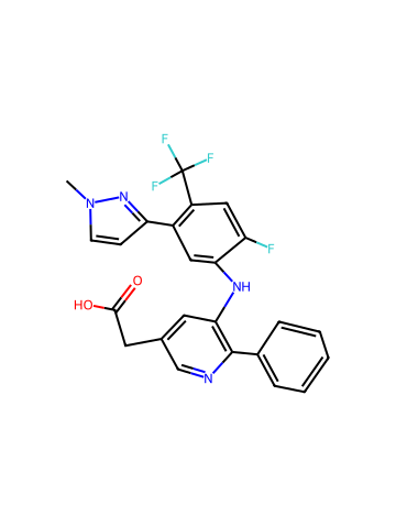 Cn1ccc(-c2cc(Nc3cc(CC(=O)O)cnc3-c3ccccc3)c(F)cc2C(F)(F)F)n1